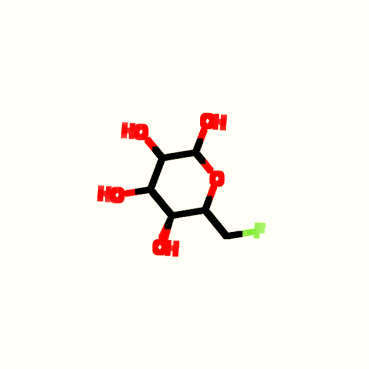 OC1OC(CF)[C@@H](O)C(O)C1O